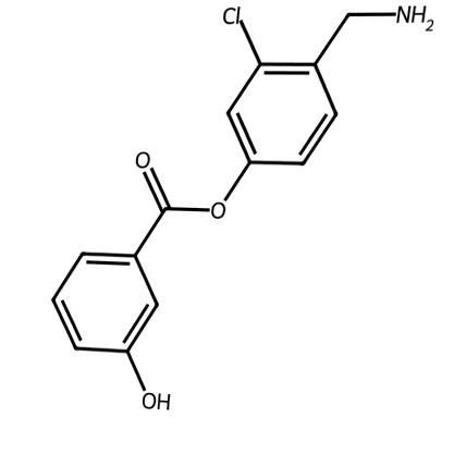 NCc1ccc(OC(=O)c2cccc(O)c2)cc1Cl